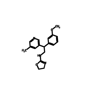 COc1cccc(C(CNC2=NCCO2)c2cncc(C)c2)c1